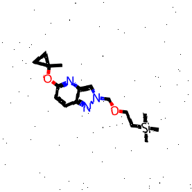 CC1(Oc2ccc3nn(COCC[Si](C)(C)C)cc3n2)CC1